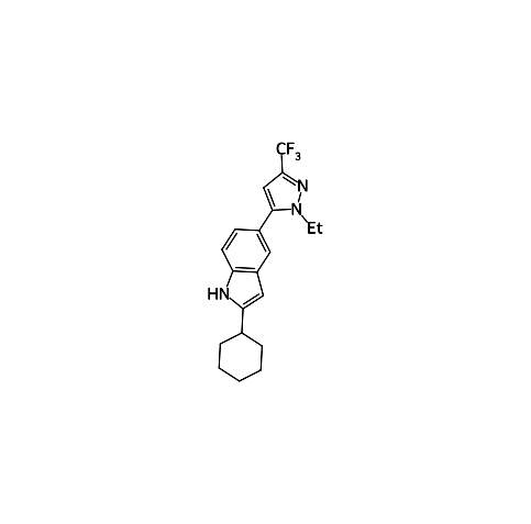 CCn1nc(C(F)(F)F)cc1-c1ccc2[nH]c(C3CCCCC3)cc2c1